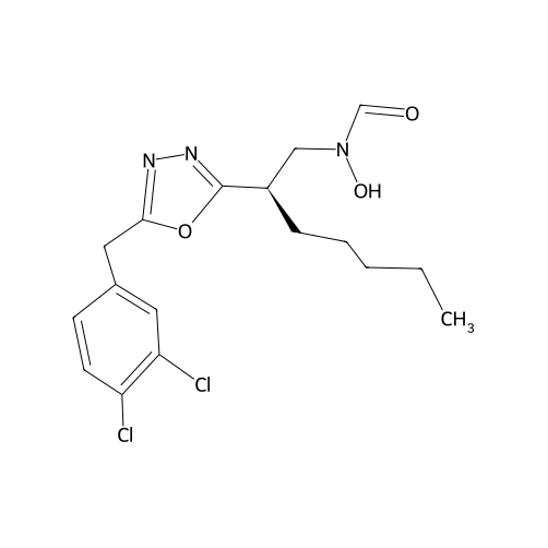 CCCCC[C@H](CN(O)C=O)c1nnc(Cc2ccc(Cl)c(Cl)c2)o1